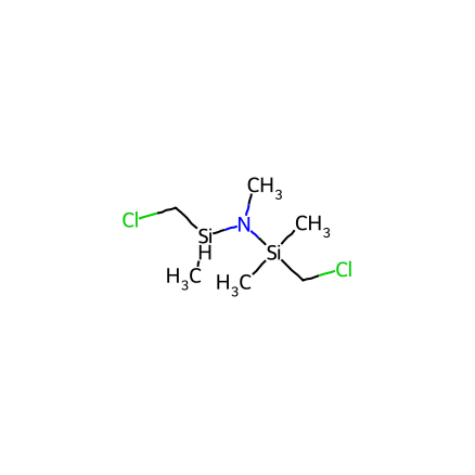 CN([SiH](C)CCl)[Si](C)(C)CCl